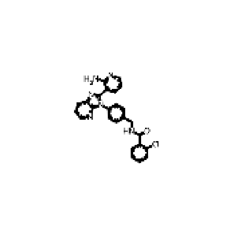 Nc1ncccc1-c1nc2cccnc2n1-c1ccc(CNC(=O)c2ccccc2Cl)cc1